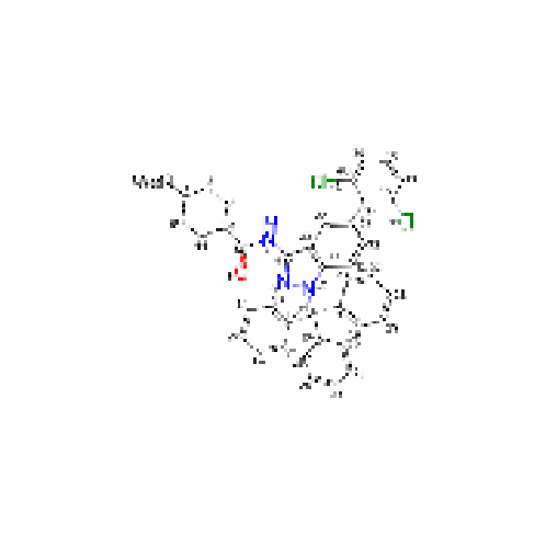 CNC1CCC(C(=O)Nc2nn(C(c3ccccc3)(c3ccccc3)c3ccccc3)c3ccc(-c4c(Cl)cccc4Cl)cc23)CC1